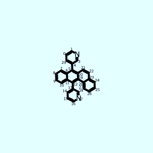 c1cncc(-c2c3ccccc3c(-c3cccnc3)c3c2ccc2ccccc23)c1